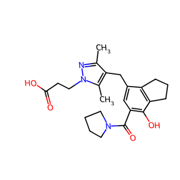 Cc1nn(CCC(=O)O)c(C)c1Cc1cc(C(=O)N2CCCC2)c(O)c2c1CCC2